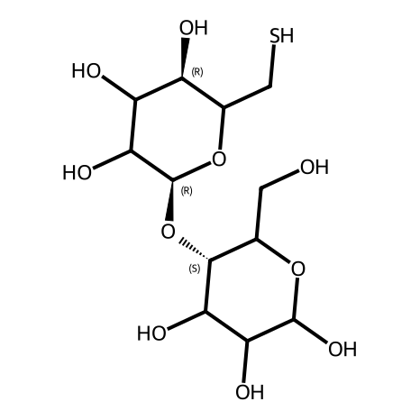 OCC1OC(O)C(O)C(O)[C@@H]1O[C@@H]1OC(CS)[C@H](O)C(O)C1O